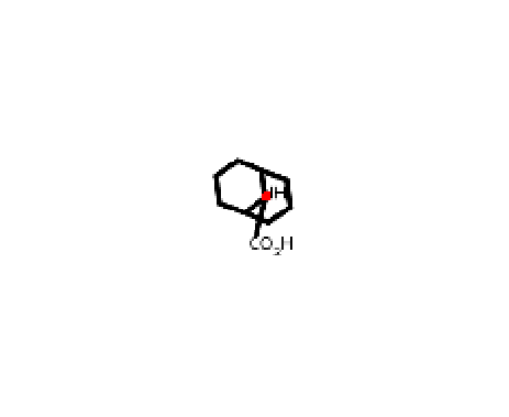 O=C(O)C1CNCC12C1CCCC2CCC1